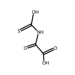 O=C(O)C(=O)NC(O)=S